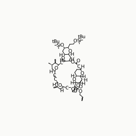 C=CCO[C@]12C[C@]34CC[C@H]5CC(=C)[C@H](CC[C@H]6C[C@@H](C)C(=C)C(C[C@@H]7O[C@H]8CC(O[Si](C)(C)C(C)(C)C)C(CCO[Si](C)(C)C(C)(C)C)O[C@H]8[C@H](C)[C@H]7OC(=O)C[C@H]7CC[C@@H]8O[C@H]([C@@H](O1)[C@@H](O3)[C@H]8O7)[C@H]2O4)O6)O5